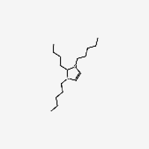 CCCCCN1C=CN(CCCCC)C1CCCC